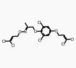 CC(COc1c(Cl)cc(OCC=C(Cl)Cl)cc1Cl)=NOCC=C(Cl)Cl